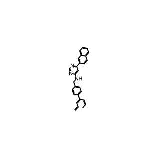 C=C/C=C(\C=C/C)c1ccc(CNc2cc(-c3ccc4ccccc4c3)ncn2)cc1